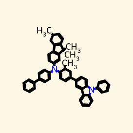 CC1C=CC2=C(C1)c1ccc(N(C3=CC=C(c4ccc5c(c4)c4ccccc4n5-c4ccccc4)CC3C)c3ccc(-c4ccccc4)cc3)cc1C2(C)C